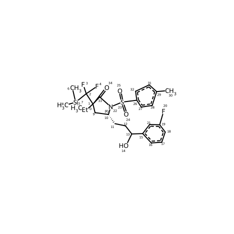 CCC1(C(F)(F)[Si](C)(C)C)C[C@@H](CCC(O)c2cccc(F)c2)N(S(=O)(=O)c2ccc(C)cc2)C1=O